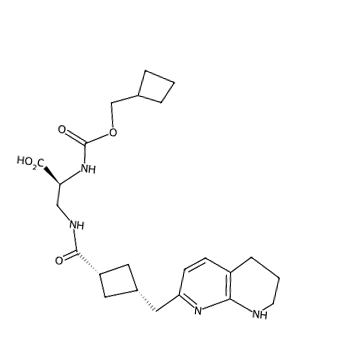 O=C(N[C@@H](CNC(=O)[C@H]1C[C@@H](Cc2ccc3c(n2)NCCC3)C1)C(=O)O)OCC1CCC1